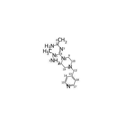 C=C(N)/N=C(\N(C)N)N1CCN(Cc2ccncc2)CC1